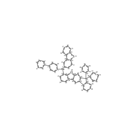 c1ccc(-c2ccc(N(c3ccc4sc5ccccc5c4c3)c3cccc4c3oc3cc5c(cc34)-c3ccccc3C5(c3ccccc3)c3ccccc3)cc2)cc1